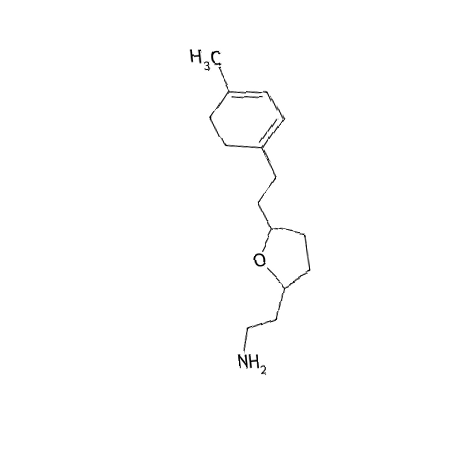 CC1=CC=C(CCC2CCC(CCN)O2)CC1